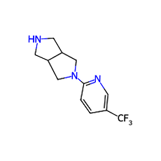 FC(F)(F)c1ccc(N2CC3CNCC3C2)nc1